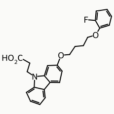 O=C(O)CCn1c2ccccc2c2ccc(OCCCCOc3ccccc3F)cc21